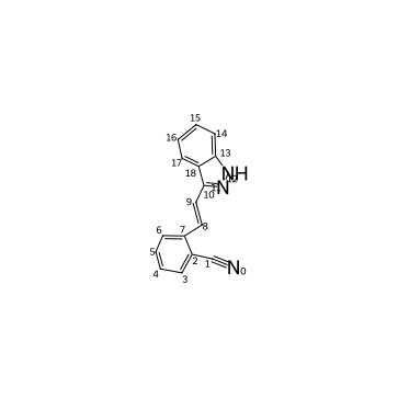 N#Cc1ccccc1/C=C/c1n[nH]c2ccccc12